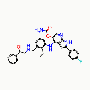 CCc1c(CNCC(O)c2ccccc2)cccc1Nc1c(OC(N)=O)cnc2[nH]c(-c3ccc(F)cc3)cc12